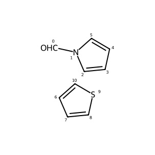 O=Cn1cccc1.c1ccsc1